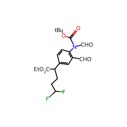 CCOC(=O)C(CCC(F)F)c1ccc(N(C=O)C(=O)OC(C)(C)C)c(C=O)c1